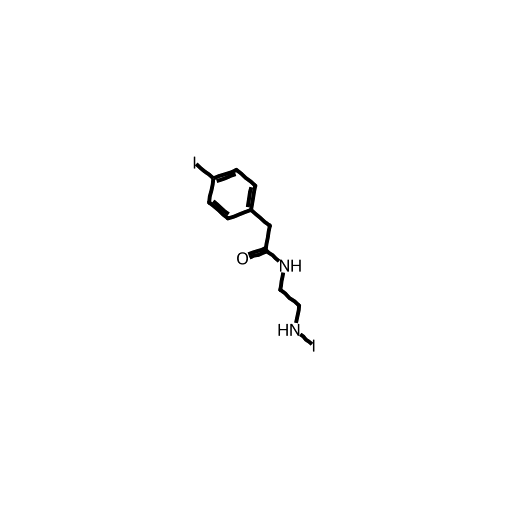 O=C(Cc1ccc(I)cc1)NCCNI